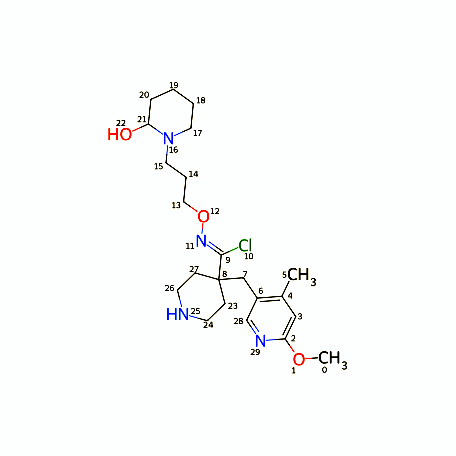 COc1cc(C)c(CC2(C(Cl)=NOCCCN3CCCCC3O)CCNCC2)cn1